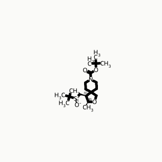 C[C@H]1OCC2(CCN(C(=O)OC(C)(C)C)CC2)[C@@H]1C[S@+]([O-])C(C)(C)C